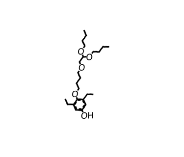 CCCCOC(COCCCCOc1c(CC)cc(O)cc1CC)OCCCC